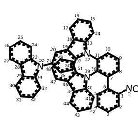 O=[N+]([O-])c1ccccc1-c1cccc(-n2c3ccccc3c3cc(-n4c5ccccc5c5ccccc54)ccc32)c1-n1c2ccccc2c2ccccc21